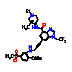 CCN1CC[C@H](NC(=O)c2cc(C#CCNc3cc(S(C)(=O)=O)ccc3OC)cc3c2ncn3CC(F)(F)F)[C@@H](C)C1